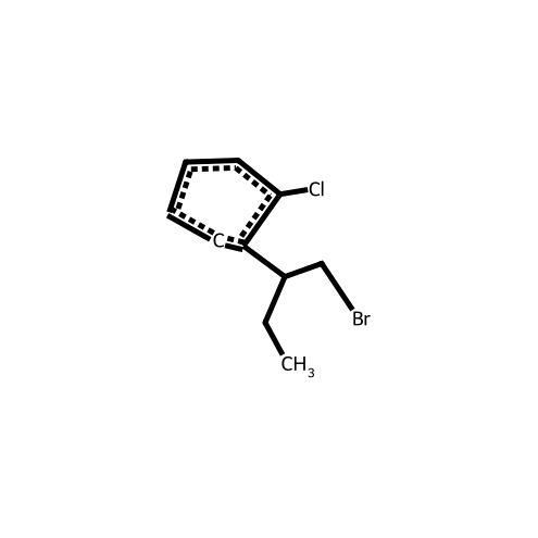 CCC(CBr)c1ccccc1Cl